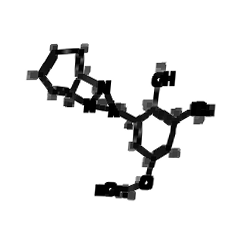 CCCCCCCCOc1cc(-n2n3c4ccccc4n23)c(O)c(C(C)(C)C)c1